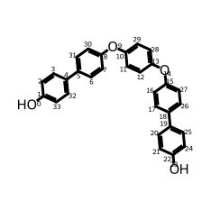 Oc1ccc(-c2ccc(Oc3ccc(Oc4ccc(-c5ccc(O)cc5)cc4)cc3)cc2)cc1